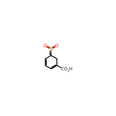 O=C(O)C1=CC=CC(=S(=O)=O)C1